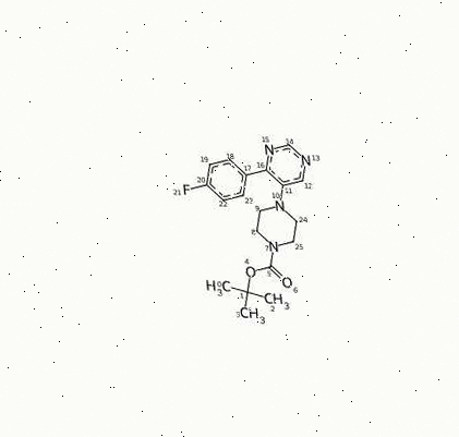 CC(C)(C)OC(=O)N1CCN(c2cncnc2-c2ccc(F)cc2)CC1